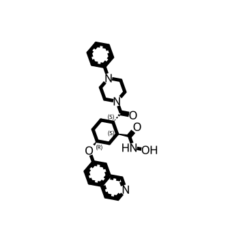 O=C(NO)[C@H]1C[C@H](Oc2ccc3ccncc3c2)CC[C@@H]1C(=O)N1CCN(c2ccccc2)CC1